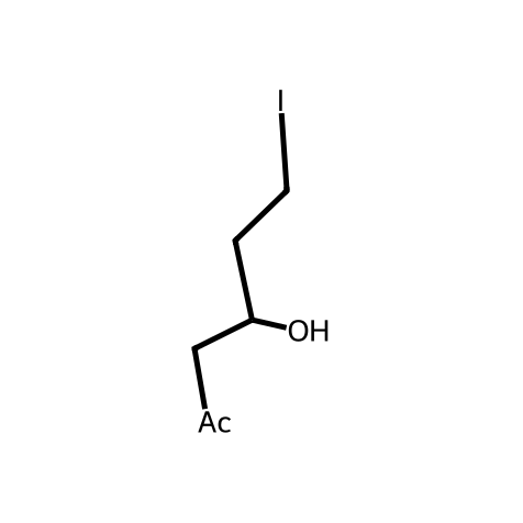 CC(=O)CC(O)CCI